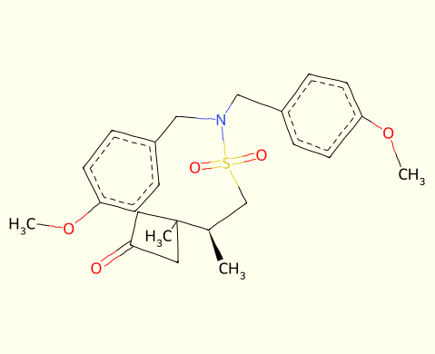 COc1ccc(CN(Cc2ccc(OC)cc2)S(=O)(=O)C[C@@H](C)C2(C)CC(=O)C2)cc1